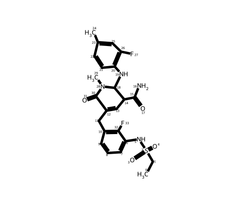 CCS(=O)(=O)Nc1cccc(CC2=CC(C(N)=O)C(Nc3ccc(C)cc3F)N(C)C2=O)c1F